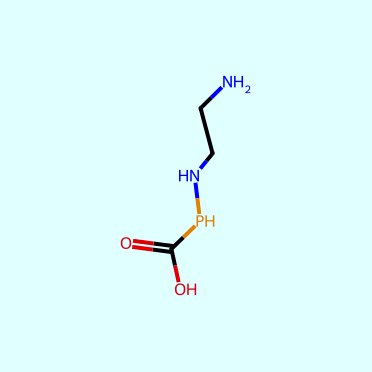 NCCNPC(=O)O